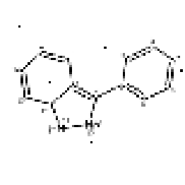 C1=CC2=C(c3ccccc3)NNC2C=C1